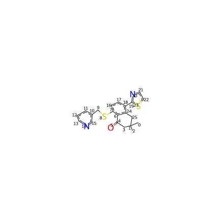 CC1(C)CC(=O)c2c(SCc3cccnc3)ccc(-c3nccs3)c2C1